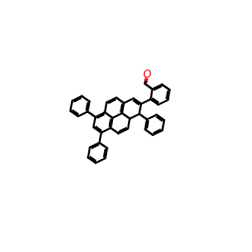 O=Cc1ccccc1C1=Cc2ccc3c(-c4ccccc4)cc(-c4ccccc4)c4c3c2C(C=C4)C1c1ccccc1